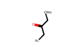 COCC(=O)CC(C)=O